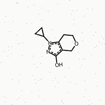 Oc1nn(C2CC2)c2c1COCC2